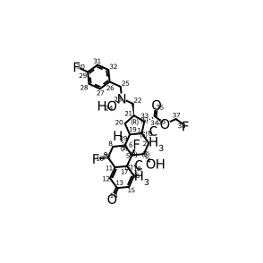 C[C@]12C[C@H](O)[C@@]3(F)[C@@H](C[C@H](F)C4=CC(=O)C=C[C@@]43C)C1C[C@@H](CN(O)Cc1ccc(F)cc1)[C@@H]2C(=O)OCF